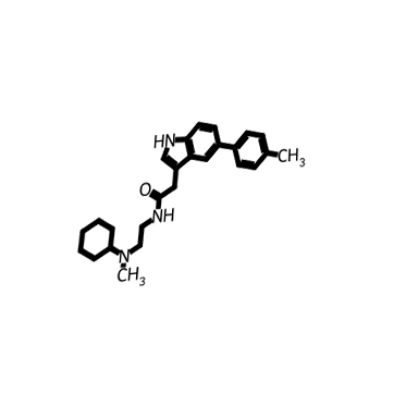 Cc1ccc(-c2ccc3[nH]cc(CC(=O)NCCN(C)C4CCCCC4)c3c2)cc1